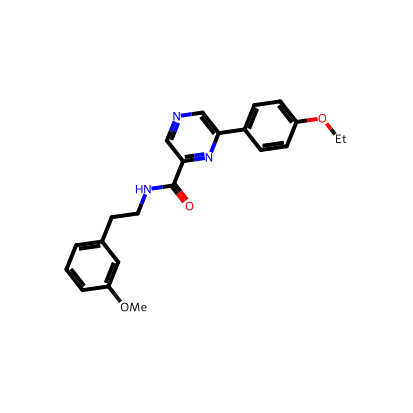 CCOc1ccc(-c2cncc(C(=O)NCCc3cccc(OC)c3)n2)cc1